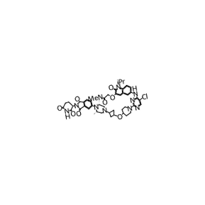 CNC(=O)COc1cc2cc(Nc3nc(N4CCC(OC5CC(N6C[C@@H](C)N(c7ccc8c(c7)C(=O)N(C7CCC(=O)NC7=O)C8=O)[C@@H](C)C6)C5)CC4)ncc3Cl)ccc2n(C(C)C)c1=O